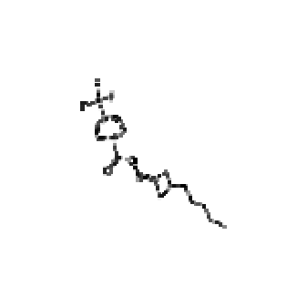 CCCCCC1CC(=NOC(=O)c2ccc(C(F)(F)F)cc2)C1